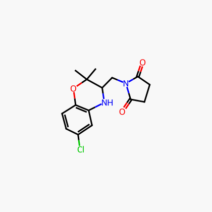 CC1(C)Oc2ccc(Cl)cc2NC1CN1C(=O)CCC1=O